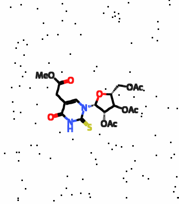 COC(=O)Cc1cn([C@@H]2O[C@H](COC(C)=O)C(OC(C)=O)[C@@H]2OC(C)=O)c(=S)[nH]c1=O